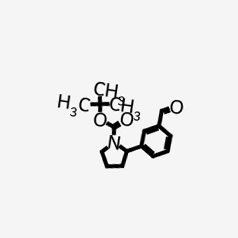 CC(C)(C)OC(=O)N1CCCC1c1cccc(C=O)c1